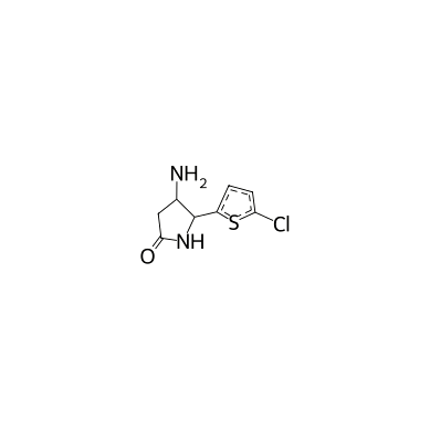 NC1CC(=O)NC1c1ccc(Cl)s1